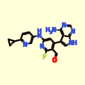 Nc1ncnc2[nH]cc(-c3cc(Nc4ccc(C5CC5)nc4)nc(F)c3C=O)c12